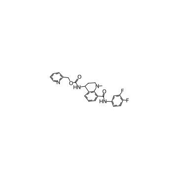 CN1CCC(NC(=O)OCc2ccccn2)c2cccc(C(=O)Nc3ccc(F)c(F)c3)c21